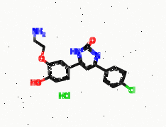 Cl.NCCOc1cc(-c2cc(-c3ccc(Cl)cc3)nc(=O)[nH]2)ccc1O